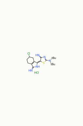 CC(C)(C)N(C1=NC(=N)C(=C2NC(=N)C3=C2CC(Cl)CC3)S1)C(C)(C)C.Cl